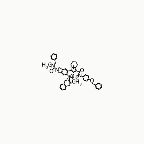 C[C@@H]1Cc2ccccc2CN1C(=O)c1cc2c(cc1-c1cc(C(=O)N(C)c3ccc(OCc4ccccc4)cc3)c3n1CCCC3)CN(C(=O)N(C)Cc1ccccc1)C2